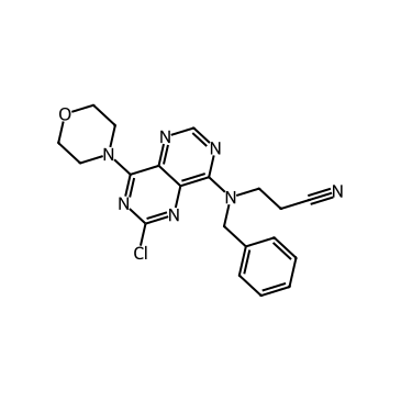 N#CCCN(Cc1ccccc1)c1ncnc2c(N3CCOCC3)nc(Cl)nc12